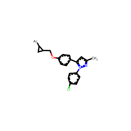 CC(=O)C1CC1COc1ccc(-c2cc(C)nn2-c2ccc(Cl)cc2)cc1